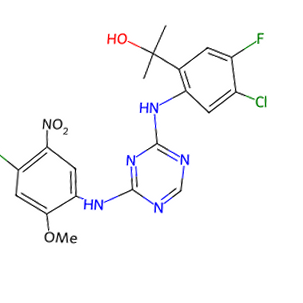 COc1cc(F)c([N+](=O)[O-])cc1Nc1ncnc(Nc2cc(Cl)c(F)cc2C(C)(C)O)n1